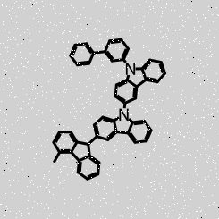 Cc1cccc2c1-c1ccccc1C2c1ccc2c(c1)c1ccccc1n2-c1ccc2c(c1)c1ccccc1n2-c1cccc(-c2ccccc2)c1